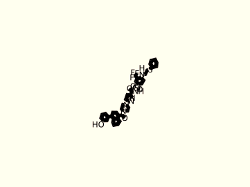 O=C(NS(=O)(=O)c1ccc(NCCSc2ccccc2)c(C(F)(F)F)c1)c1ccc(N2CCN(C(=O)c3ccc(-c4cccc(O)c4)c4ccccc34)CC2)nn1